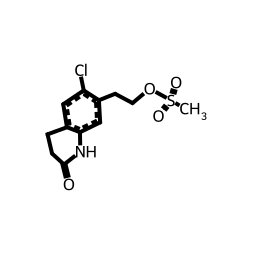 CS(=O)(=O)OCCc1cc2c(cc1Cl)CCC(=O)N2